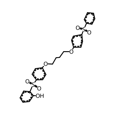 O=S(=O)(c1ccccc1)c1ccc(OCCCCOc2ccc(S(=O)(=O)c3ccccc3O)cc2)cc1